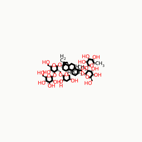 C=C1C[C@@]23CC[C@H]4[C@@](C)(CCC[C@@]4(C)C(=O)O[C@@H]4O[C@H](CO)[C@@H](O)[C@H](O)[C@H]4O[C@@H]4O[C@@H](C)[C@H](O)[C@@H](O)[C@H]4O)[C@@H]2CC[C@]1(O[C@@H]1O[C@H](CO)[C@@H](O)[C@H](O[C@@H]2O[C@H](CO)[C@@H](O)[C@H](O)[C@H]2O)[C@H]1CO[C@@H]1OC[C@@H](O)C[C@H]1O)C3